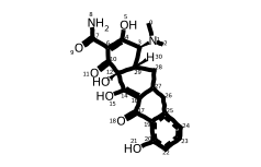 CN(C)[C@@H]1C(O)=C(C(N)=O)C(=O)[C@@]2(O)C(O)=C3C(=O)c4c(O)cccc4CC3C[C@@H]12